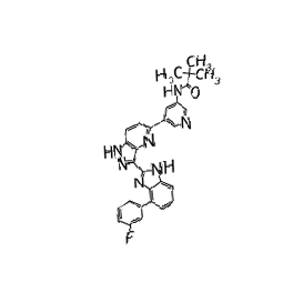 CC(C)(C)C(=O)Nc1cncc(-c2ccc3[nH]nc(-c4nc5c(-c6cccc(F)c6)cccc5[nH]4)c3n2)c1